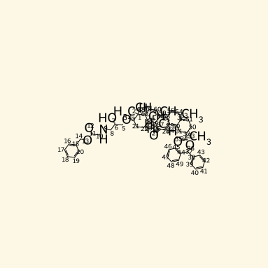 CC1(C)[C@H](OC[C@H](O)CNCC(=O)OCc2ccccc2)CC[C@@]2(C)[C@H]3C(=O)C=C4[C@@H]5C[C@](C)(C(=O)OC(c6ccccc6)c6ccccc6)CC[C@@]5(C)CC[C@]4(C)[C@]3(C)CC[C@@H]12